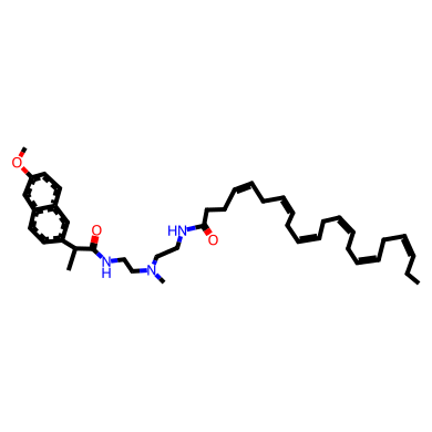 CC/C=C\C/C=C\C/C=C\C/C=C\C/C=C\C/C=C\CCC(=O)NCCN(C)CCNC(=O)C(C)c1ccc2cc(OC)ccc2c1